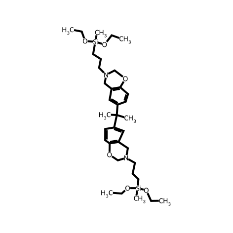 CCO[Si](C)(CCCN1COc2ccc(C(C)(C)c3ccc4c(c3)CN(CCC[Si](C)(OCC)OCC)CO4)cc2C1)OCC